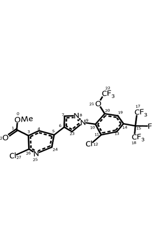 COC(=O)c1cc(-c2cnn(-c3c(Cl)cc(C(F)(C(F)(F)F)C(F)(F)F)cc3OC(F)(F)F)c2)cnc1Cl